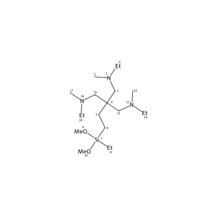 CCN(C)CC(CC[Si](CC)(OC)OC)(CN(C)CC)CN(C)CC